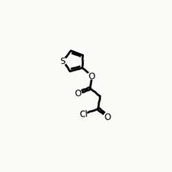 O=C(Cl)CC(=O)Oc1ccsc1